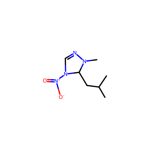 CC(C)CC1N(C)N=CN1[N+](=O)[O-]